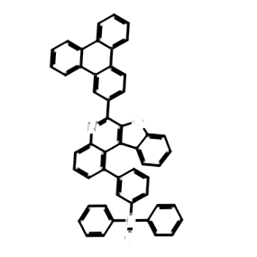 O=P(c1ccccc1)(c1ccccc1)c1cccc(-c2cccc3nc(-c4ccc5c6ccccc6c6ccccc6c5c4)c4oc5ccccc5c4c23)c1